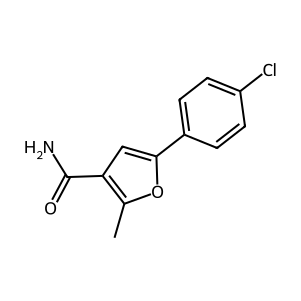 Cc1oc(-c2ccc(Cl)cc2)cc1C(N)=O